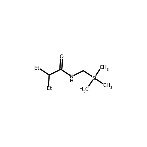 CCC(CC)C(=O)NC[Si](C)(C)C